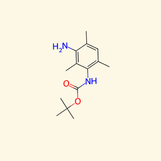 Cc1cc(C)c(NC(=O)OC(C)(C)C)c(C)c1N